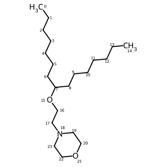 CCCCCCCC(CCCCCCC)OCCN1CCOCC1